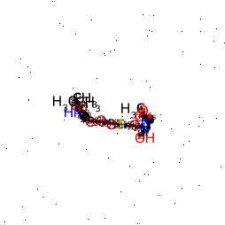 COC(=O)c1cccc(CN(CCO)CCOCCCSCCOCCOCCOc2ccc(NC(=O)OC(C)(C)C)cc2)n1